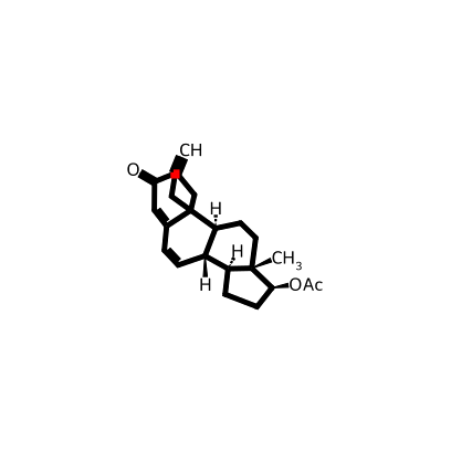 C#CCC12CCC(=O)C=C1C=C[C@@H]1[C@@H]2CC[C@]2(C)[C@@H](OC(C)=O)CC[C@@H]12